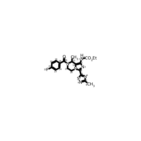 CCOC(=O)Nc1nc(-c2nc(C)ns2)n2c1C(C)N(C(=O)c1ccc(F)cc1)CC2